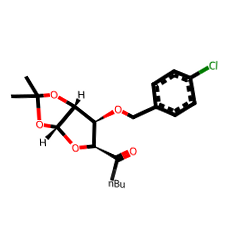 CCCCC(=O)[C@H]1O[C@@H]2OC(C)(C)O[C@@H]2[C@H]1OCc1ccc(Cl)cc1